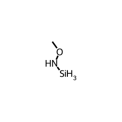 CON[SiH3]